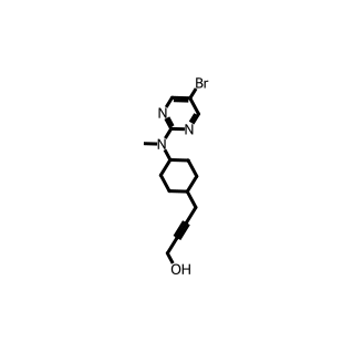 CN(c1ncc(Br)cn1)C1CCC(CC#CCO)CC1